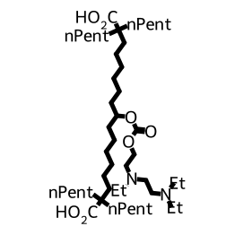 CCCCCC(CCCCC)(CCCCCCC(CCCCCCC(CCCCC)(CCCCC)C(=O)O)OC(=O)OCCN(CC)CCN(CC)CC)C(=O)O